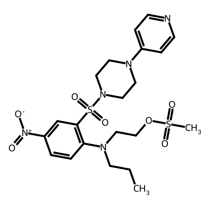 CCCN(CCOS(C)(=O)=O)c1ccc([N+](=O)[O-])cc1S(=O)(=O)N1CCN(c2ccncc2)CC1